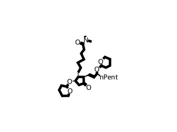 CCCCC[C@@H](C=C[C@H]1C(=O)C[C@H](OC2CCCCO2)[C@@H]1CCCCCCC(=O)N(C)C)OC1CCCCO1